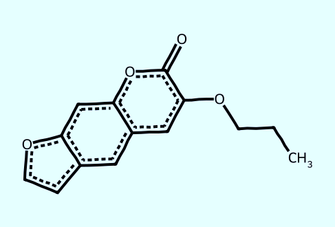 CCCOc1cc2cc3ccoc3cc2oc1=O